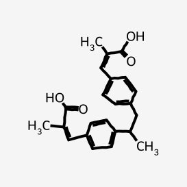 CC(=Cc1ccc(CC(C)c2ccc(C=C(C)C(=O)O)cc2)cc1)C(=O)O